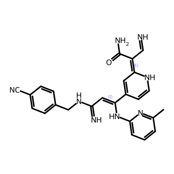 Cc1cccc(N/C(=C\C(=N)NCc2ccc(C#N)cc2)C2=C/C(=C(/C=N)C(N)=O)NC=C2)n1